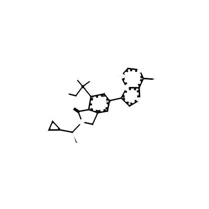 C[C@@H](C1CC1)N1Cc2cc(-c3cnc4c(N)ncnn34)cc(C(O)(CO)C(F)(F)F)c2C1=O